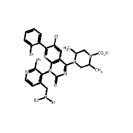 CCN(CC)Cc1ccnc(C(C)C)c1-n1c(=O)nc(N2CC(C)N(C(=O)O)CC2C)c2cc(Cl)c(-c3ccccc3C(C)C)nc21